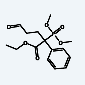 CCOC(=O)C(CCC=O)(c1ccccc1)P(=O)(OC)OC